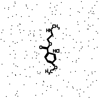 CNCCOC(=O)c1ccc(OC)cc1.Cl